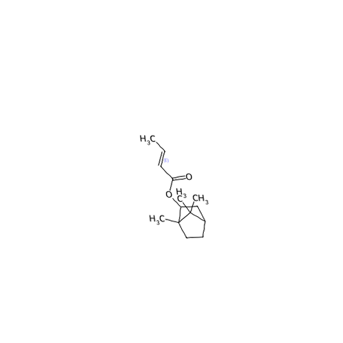 C/C=C/C(=O)OC1CC2CCC1(C)C2(C)C